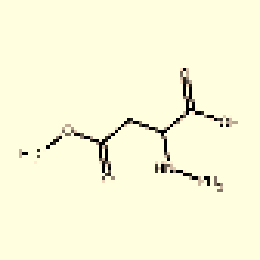 COC(=O)CC(NP)C(=O)O